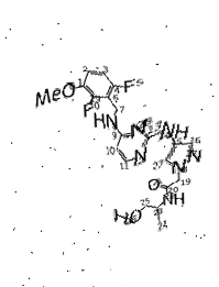 COc1ccc(F)c(CNc2ccnc(Nc3cnn(CC(=O)NC(C)CO)c3)n2)c1F